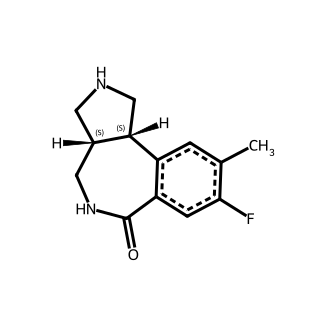 Cc1cc2c(cc1F)C(=O)NC[C@@H]1CNC[C@H]21